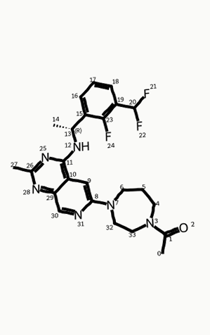 CC(=O)N1CCCN(c2cc3c(N[C@H](C)c4cccc(C(F)F)c4F)nc(C)nc3cn2)CC1